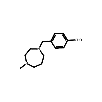 CN1CCCN(Cc2ccc(C=O)cc2)CC1